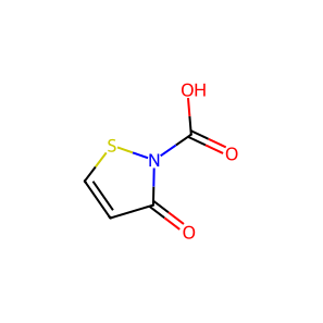 O=C(O)n1sccc1=O